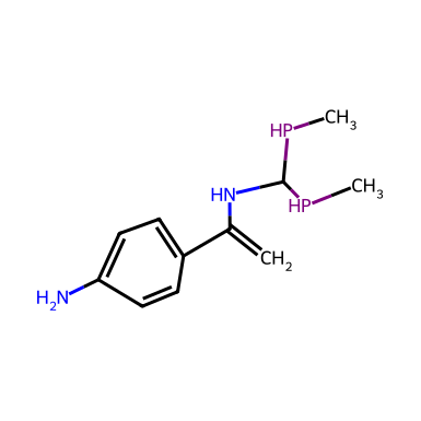 C=C(NC(PC)PC)c1ccc(N)cc1